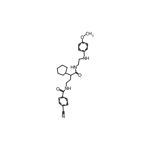 COc1ccc(NCCNC(=O)C(CCNC(=O)c2ccc(C#N)cc2)C2CCCCC2)cc1